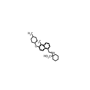 CC1CCC(Oc2ccc3c(CNC4(C(=O)O)CCCCC4)cccc3c2C(F)(F)F)CC1